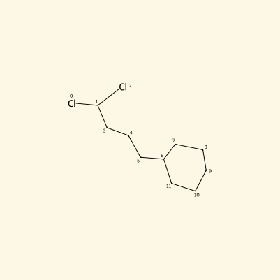 ClC(Cl)CCCC1CCCCC1